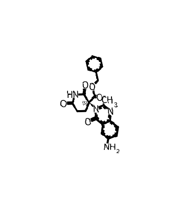 Cc1nc2ccc(N)cc2c(=O)n1[C@@]1(C(=O)OCc2ccccc2)CCC(=O)NC1=O